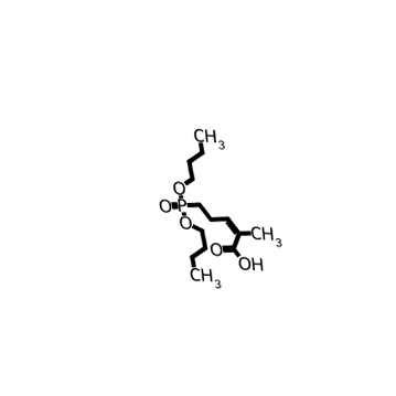 CCCCOP(=O)(CCC=C(C)C(=O)O)OCCCC